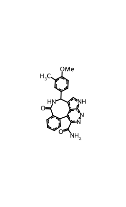 COc1ccc(C2NC(=O)c3ccccc3-c3c(C(N)=O)nnc4[nH]cc2c34)cc1C